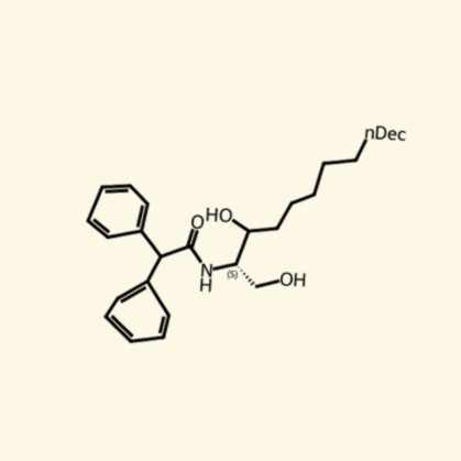 CCCCCCCCCCCCCCCC(O)[C@H](CO)NC(=O)C(c1ccccc1)c1ccccc1